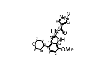 COc1ccc(C2CCOCC2)c2nc(NC(=O)c3cnn(C)c3)[nH]c12